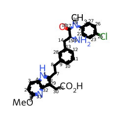 COc1ccc2[nH]c(CCc3cccc(C[C@H](N)C(=O)N(C)c4ccc(Cl)cc4)c3)c(CC(=O)O)c2n1